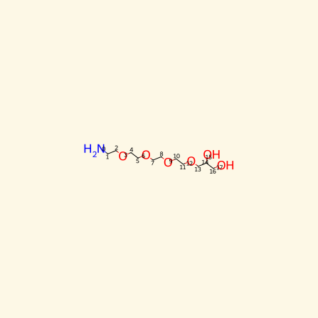 NCCOCCOCCOCCOCC(O)CO